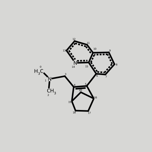 CN(C)CC1=C(c2cccc3cccnc23)C2CCC1C2